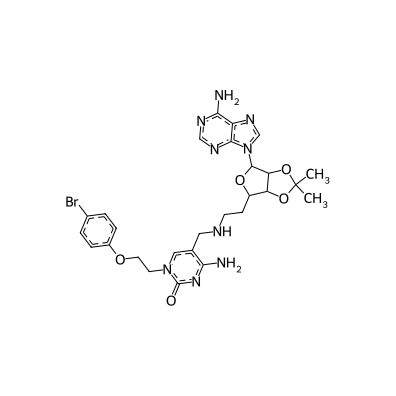 CC1(C)OC2C(CCNCc3cn(CCOc4ccc(Br)cc4)c(=O)nc3N)OC(n3cnc4c(N)ncnc43)C2O1